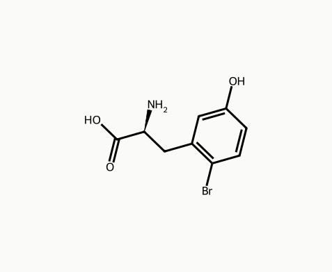 N[C@@H](Cc1cc(O)ccc1Br)C(=O)O